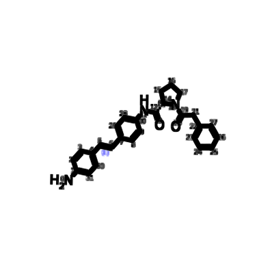 Nc1ccc(/C=C/c2ccc(NC(=O)[C@@H]3CCCN3C(=O)Cc3ccccc3)cc2)cc1